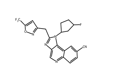 N#Cc1ccc2ncc3nc(Cc4cc(C(F)(F)F)on4)n(C4CCC(F)C4)c3c2c1